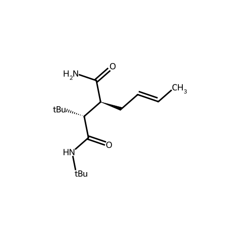 C/C=C/C[C@H](C(N)=O)[C@H](C(=O)NC(C)(C)C)C(C)(C)C